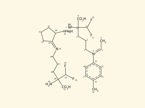 CC=[N+](CCCC(N)(C(=O)O)C(F)F)c1ccc(C)cc1.CCCCCCCC1CCCC1=NCCCC(N)(C(=O)O)C(F)F